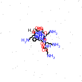 C[C@@H](O)[C@H](NC(=O)[C@@H](N)CCCCN)C(=O)N[C@@H](CO)C(=O)N[C@@H](CCCCN)C(=O)N[C@@H](Cc1c[nH]c2ccccc12)C(=O)N[C@@H](CCCCN)C(=O)N[C@@H](CCCCN)C(=O)O